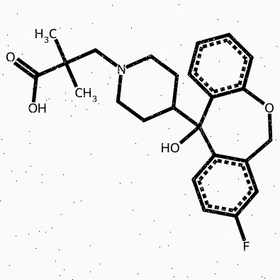 CC(C)(CN1CCC(C2(O)c3ccc(F)cc3COc3ccccc32)CC1)C(=O)O